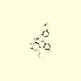 CN1C(=O)CN(CCO)C(=O)c2c1nc(Oc1cccc(OC(F)(F)F)c1)n2Cc1ccc(Cl)cc1